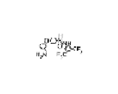 NCc1cccc(Oc2ccc(NC(=O)Nc3cc(C(F)(F)F)cc(C(F)(F)F)c3)cc2)c1